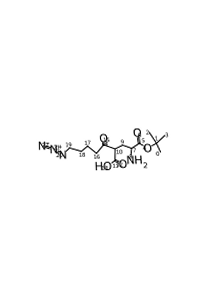 CC(C)(C)OC(=O)C(N)CC(C(=O)O)C(=O)CCCCN=[N+]=[N-]